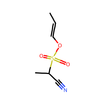 CC=COS(=O)(=O)C(C)C#N